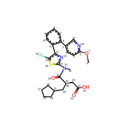 COc1ccc(-c2ccccc2-c2nc(N(C)C(=O)[C@@H](CC(=O)O)CC3CCCC3)sc2F)cn1